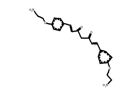 NCCOc1ccc(/C=C/C(=O)CC(=O)/C=C/c2ccc(OCCN)cc2)cc1